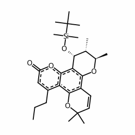 CCCc1cc(=O)oc2c3c(c4c(c12)OC(C)(C)C=C4)O[C@H](C)[C@@H](C)[C@H]3O[Si](C)(C)C(C)(C)C